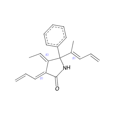 C=C/C=C1/C(=O)NC(/C(C)=C/C=C)(c2ccccc2)/C1=C/C